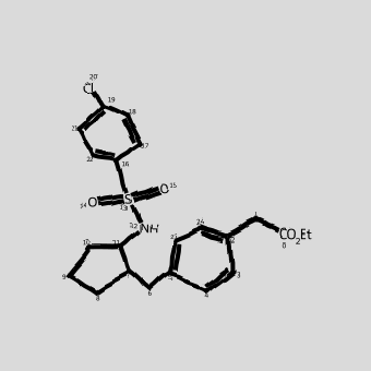 CCOC(=O)Cc1ccc(CC2CCCC2NS(=O)(=O)c2ccc(Cl)cc2)cc1